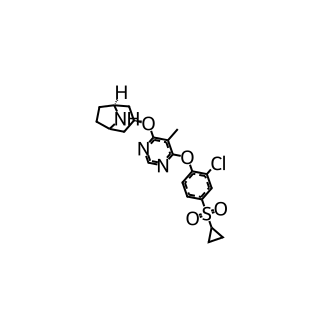 Cc1c(Oc2ccc(S(=O)(=O)C3CC3)cc2Cl)ncnc1O[C@H]1CC2CC[C@@H](C1)N2